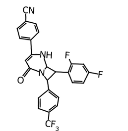 N#Cc1ccc(C2=CC(=O)N3C(N2)C(c2ccc(F)cc2F)C3c2ccc(C(F)(F)F)cc2)cc1